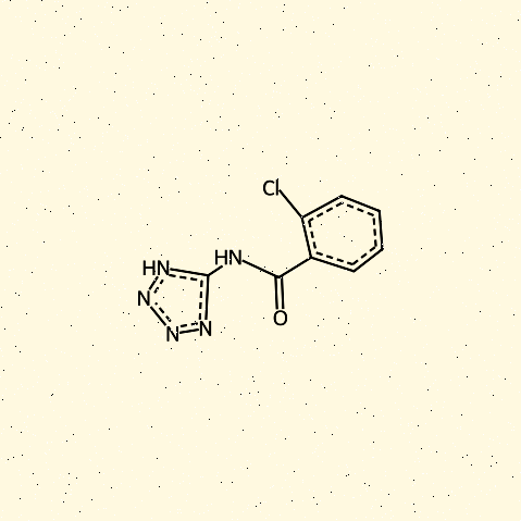 O=C(Nc1nnn[nH]1)c1ccccc1Cl